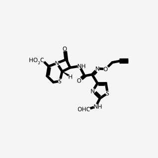 C#CCON=C(C(=O)NC1C(=O)N2C(C(=O)O)=CCS[C@@H]12)c1csc(NC=O)n1